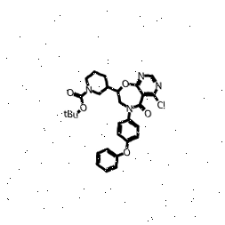 CC(C)(C)OC(=O)N1CCCC(C2CN(c3ccc(Oc4ccccc4)cc3)C(=O)c3c(Cl)ncnc3O2)C1